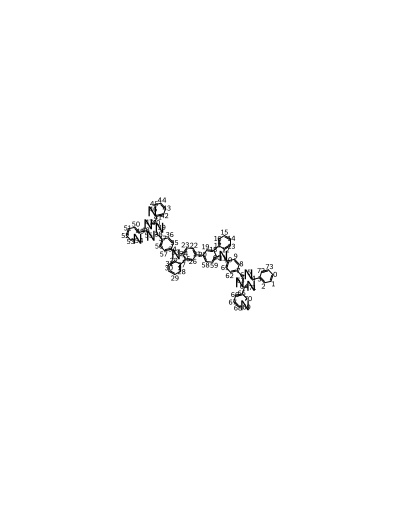 c1ccc(-c2nc(-c3ccc(-n4c5ccccc5c5cc(-c6ccc7c(c6)c6ccccc6n7-c6ccc(-c7nc(-c8ccccn8)nc(-c8ccccn8)n7)cc6)ccc54)cc3)nc(-c3cccnc3)n2)cc1